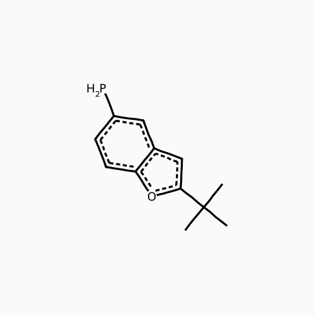 CC(C)(C)c1cc2cc(P)ccc2o1